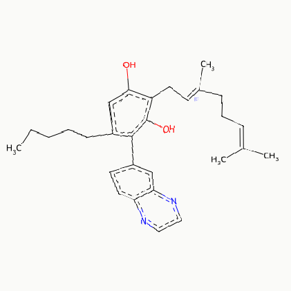 CCCCCc1cc(O)c(C/C=C(\C)CCC=C(C)C)c(O)c1-c1ccc2nccnc2c1